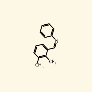 Cc1cccc(/C=N\c2ccccc2)c1C(F)(F)F